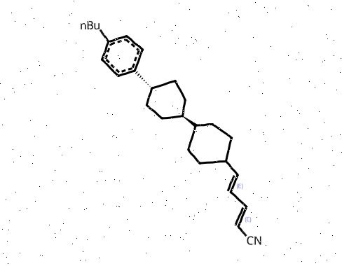 CCCCc1ccc([C@H]2CC[C@H](C3CCC(/C=C/C=C/C#N)CC3)CC2)cc1